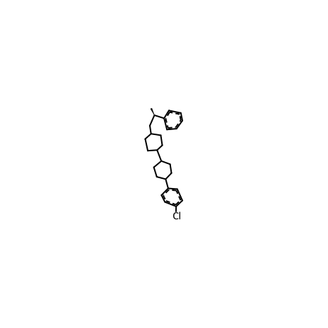 C[C@H](CC1CCC(C2CCC(c3ccc(Cl)cc3)CC2)CC1)c1ccccc1